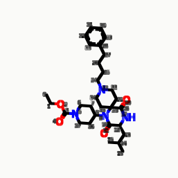 CCOC(=O)N1CCC(N2C(=O)[C@H](CC(C)C)NC(=O)C23CCN(CCCCc2ccccc2)CC3)CC1